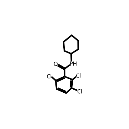 O=C(PC1CCCCC1)c1c(Cl)ccc(Cl)c1Cl